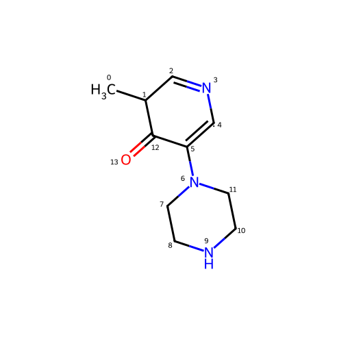 CC1C=N[C]=C(N2CCNCC2)C1=O